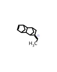 C/C=C1/CC2CC1C1C3C=CC(C3)C21